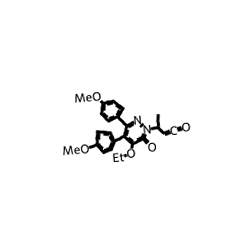 CCOc1c(-c2ccc(OC)cc2)c(-c2ccc(OC)cc2)nn(C(C)C=C=O)c1=O